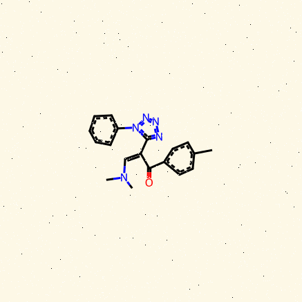 Cc1ccc(C(=O)C(=CN(C)C)c2nnnn2-c2ccccc2)cc1